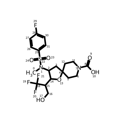 CN(C1CC2(CCN(C(=O)O)CC2)OC1C(CO)C(F)(F)F)S(=O)(=O)c1ccc(F)cc1